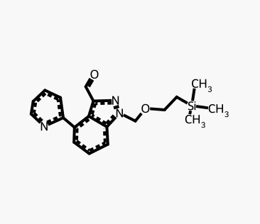 C[Si](C)(C)CCOCn1nc(C=O)c2c(-c3ccccn3)cccc21